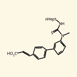 CCCCCCCNC(=S)N(C)c1cccc(-c2ccc(C=CC(=O)O)cc2)c1